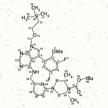 COc1c(F)cc(F)cc1-c1cn(COCC[Si](C)(C)C)c2ncnc(NCc3cccc(N4C[C@@H](C)N(C(=O)OC(C)(C)C)[C@@H](C)C4)n3)c12